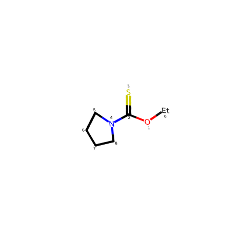 CCOC(=S)N1CCCC1